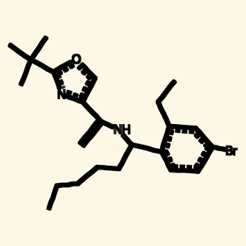 C=C(NC(CCCCC)c1ccc(Br)cc1CC)c1coc(C(C)(C)C)n1